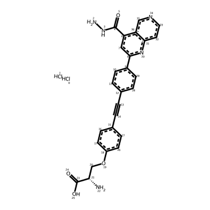 Cl.Cl.NNC(=O)c1cc(-c2ccc(C#Cc3ccc(OC[C@H](N)C(=O)O)cc3)cc2)nc2ccncc12